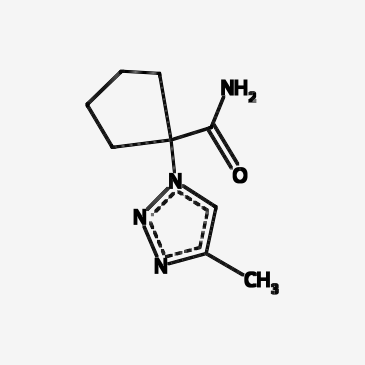 Cc1cn(C2(C(N)=O)CCCC2)nn1